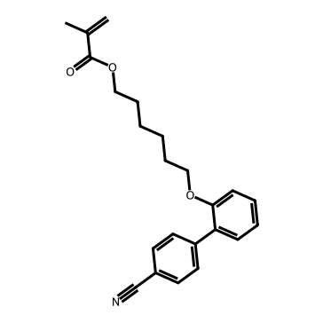 C=C(C)C(=O)OCCCCCCOc1ccccc1-c1ccc(C#N)cc1